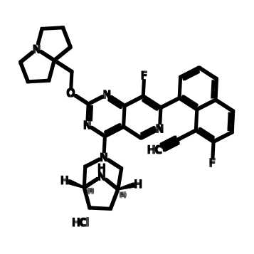 C#Cc1c(F)ccc2cccc(-c3ncc4c(N5C[C@H]6CC[C@@H](C5)N6)nc(OCC56CCCN5CCC6)nc4c3F)c12.Cl